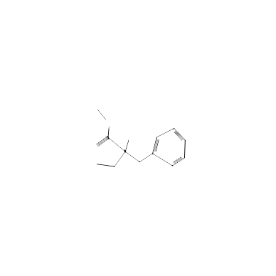 CCC(C)(Cc1ccccc1)C(=O)OC